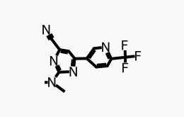 CN(C)c1nc(C#N)cc(-c2ccc(C(F)(F)F)nc2)n1